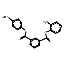 CNc1ccc(OC(=O)c2cccc(C(=O)Oc3ccccc3N)c2)cc1